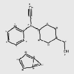 C#CN(c1ncccn1)C1CCC(CO)CC1.c1cc2cc-2c1